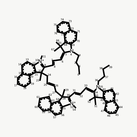 CCCCN1/C(=C/C=C/C2=[N+](C)c3ccc4ccccc4c3C2(C)CC=CCC2(C)C(/C=C/C=C3/N(CCCC)c4ccc5ccccc5c4C3(C)C)=[N+](C)c3ccc4ccccc4c32)C(C)(C)c2c1ccc1ccccc21